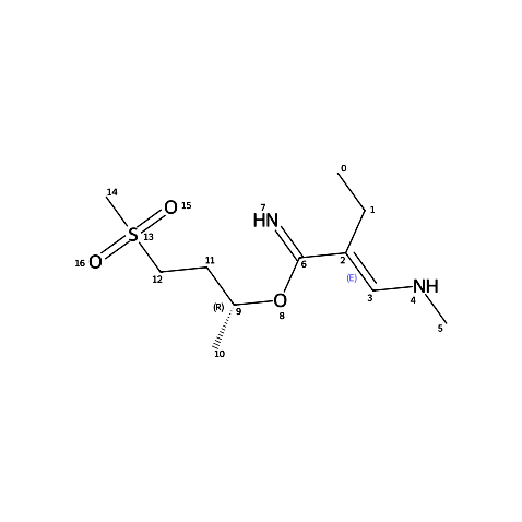 CC/C(=C\NC)C(=N)O[C@H](C)CCS(C)(=O)=O